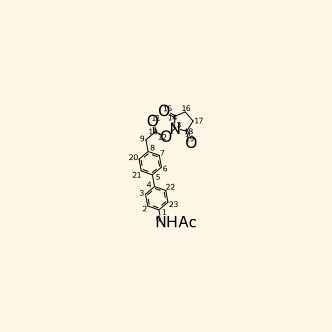 CC(=O)Nc1ccc(-c2ccc(CC(=O)ON3C(=O)CCC3=O)cc2)cc1